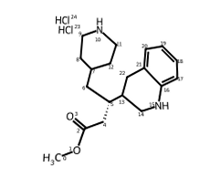 COC(=O)C[C@H](CC1CCNCC1)C1CNc2ccccc2C1.Cl.Cl